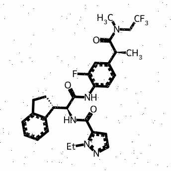 CCn1nccc1C(=O)N[C@H](C(=O)Nc1ccc([C@H](C)C(=O)N(C)CC(F)(F)F)cc1F)[C@H]1CCc2ccccc21